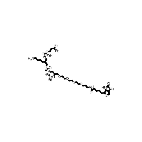 CCC(CC)CCOP(=O)(O)OCC(CCCCN)COP(C)(=O)OCC(COCCOCCOCCOCCCNC(=O)CCCCC1SCC2NC(=O)NC21)O[PH](=O)O